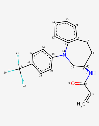 C=CC(=O)N[C@@H]1CCc2ccccc2N(c2ccc(C(F)(F)F)cc2)C1